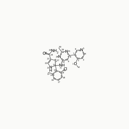 COc1ccncc1-c1cc(NC2(c3c(C)cccc3Cl)NC=C(C(N)=O)S2)nc(C)n1